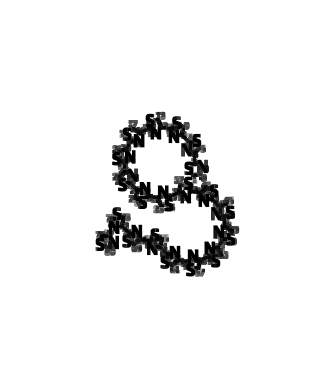 [c]1csc(-c2csc(-c3csc(-c4csc(-c5csc(-c6csc(-c7csc(-c8csc(-c9csc(-c%10csc(-c%11csc(-c%12csc(-c%13csc(-c%14csc(-c%15csc(-c%16csc(-c%17csc(-c%18csc(C%19=CSCN%19c%19cscn%19)n%18)n%17)n%16)n%15)n%14)n%13)n%12)n%11)n%10)n9)n8)n7)n6)n5)n4)n3)n2)n1